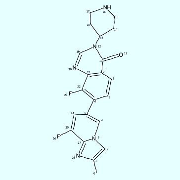 Cc1cn2cc(-c3ccc4c(=O)n(C5CCNCC5)cnc4c3F)cc(F)c2n1